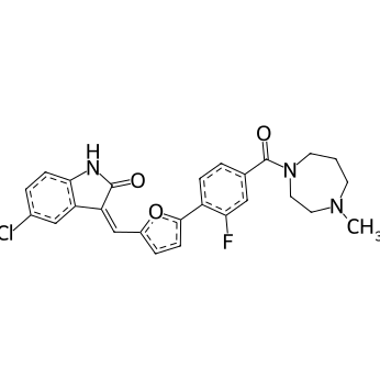 CN1CCCN(C(=O)c2ccc(-c3ccc(C=C4C(=O)Nc5ccc(Cl)cc54)o3)c(F)c2)CC1